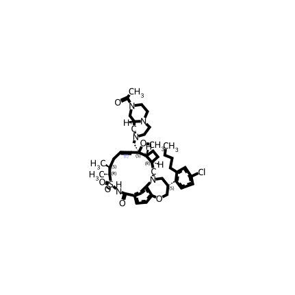 CCCCc1cc(Cl)ccc1[C@@H]1COc2ccc3cc2N(C1)C[C@@H]1CC[C@H]1[C@](CN1CCN2CCN(C(C)=O)C[C@H]2C1)(OC)/C=C/C[C@H](C)[C@@H](C)S(=O)(=O)NC3=O